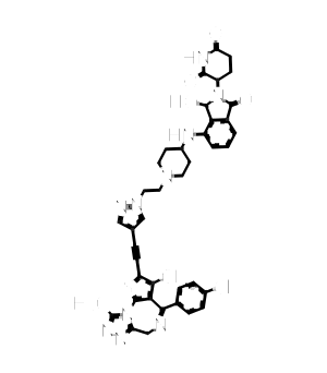 Cc1c(C#Cc2cnn(CCN3CCC(Nc4cccc5c4C(O)N(C4CCC(=O)NC4=O)C5=O)CC3)c2)sc2c1C(c1ccc(Cl)cc1)=NCc1nnc(C)n1-2